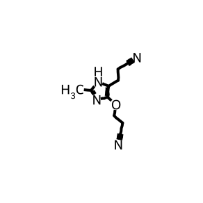 Cc1nc(OCCC#N)c(CCC#N)[nH]1